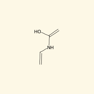 C=CNC(=C)O